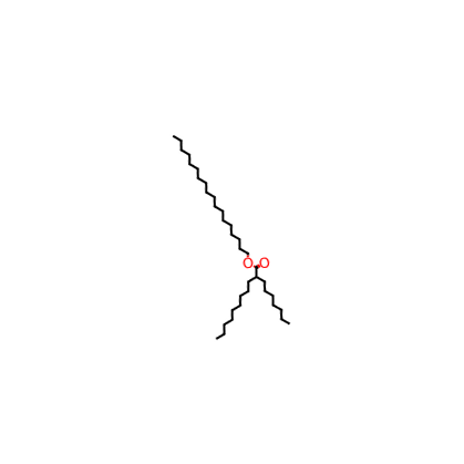 CCCCCCCCCCCCCCCCCCOC(=O)C(CCCCCCC)CCCCCCCCC